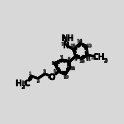 C=CCCOc1ccc(-c2cc(C)ccc2N=N)cc1